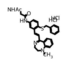 CC(=O)NCC(=O)Nc1ccc(SCc2ccccc2)c(/C=C/C2=NCCN(C)c3ccccc32)c1.Cl.Cl